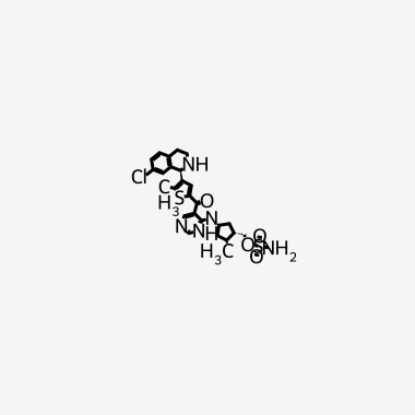 Cc1sc(C(=O)c2cncnc2N[C@@H]2C[C@H](COS(N)(=O)=O)[C@@H](C)C2)cc1[C@@H]1NCCc2ccc(Cl)cc21